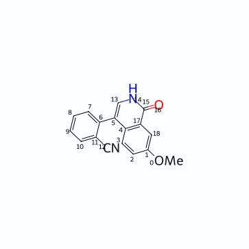 COc1ccc2c(-c3ccccc3C#N)c[nH]c(=O)c2c1